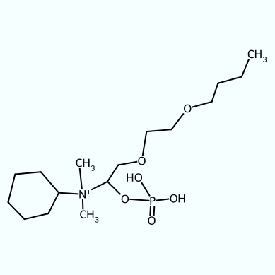 CCCCOCCOCC(OP(=O)(O)O)[N+](C)(C)C1CCCCC1